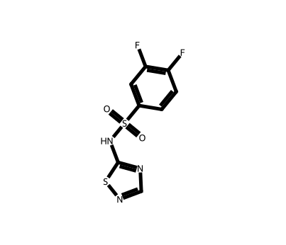 O=S(=O)(Nc1ncns1)c1ccc(F)c(F)c1